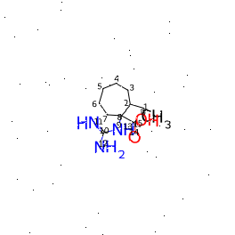 CCC1CCCCCC1(NC(=N)N)C(=O)O